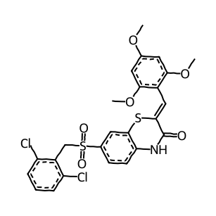 COc1cc(OC)c(C=C2Sc3cc(S(=O)(=O)Cc4c(Cl)cccc4Cl)ccc3NC2=O)c(OC)c1